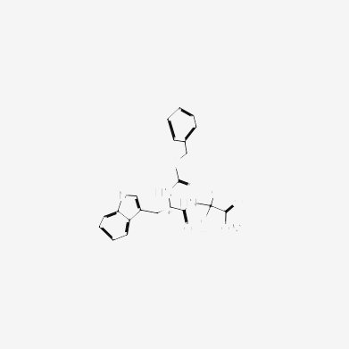 COC(=O)C(C)(C)NC(=O)[C@@H](Cc1c[nH]c2ccccc12)NC(=O)OCc1ccccc1